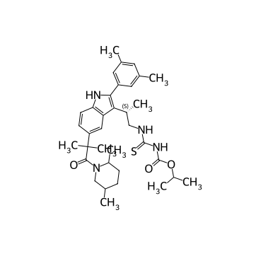 Cc1cc(C)cc(-c2[nH]c3ccc(C(C)(C)C(=O)N4CC(C)CCC4C)cc3c2[C@H](C)CNC(=S)NC(=O)OC(C)C)c1